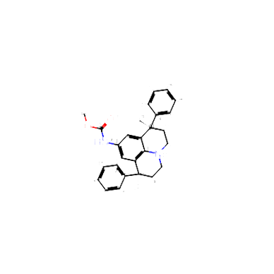 COC(=O)Nc1cc2c3c(c1)[C@](C)(c1ccccc1)CCN3CC[C@@]2(C)c1ccccc1